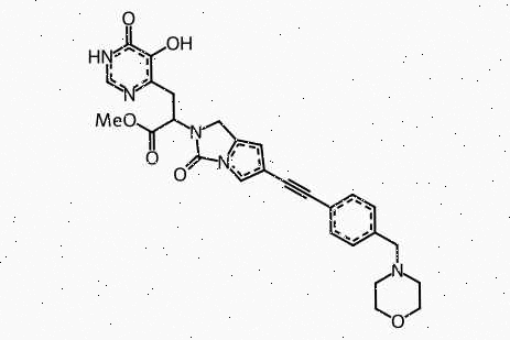 COC(=O)C(Cc1nc[nH]c(=O)c1O)N1Cc2cc(C#Cc3ccc(CN4CCOCC4)cc3)cn2C1=O